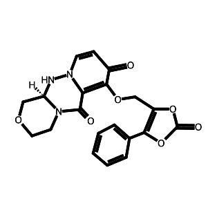 O=C1c2c(OCc3oc(=O)oc3-c3ccccc3)c(=O)ccn2N[C@@H]2COCCN12